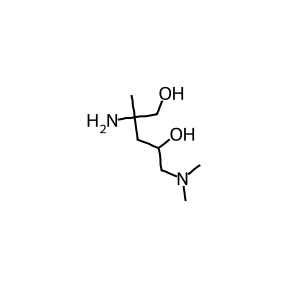 CN(C)CC(O)CC(C)(N)CO